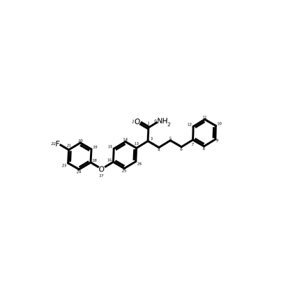 NC(=O)C(CCCc1ccccc1)c1ccc(Oc2ccc(F)cc2)cc1